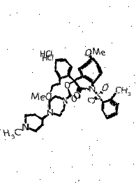 COCCc1ccccc1C1(OC(=O)N2CCN(C3CCN(C)CC3)CC2)C(=O)N(S(=O)(=O)c2ccccc2C)c2ccc(OC)cc21.Cl.Cl